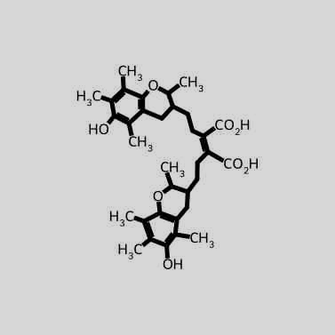 Cc1c(C)c2c(c(C)c1O)CC(CC/C(C(=O)O)=C(\CCC1Cc3c(C)c(O)c(C)c(C)c3OC1C)C(=O)O)C(C)O2